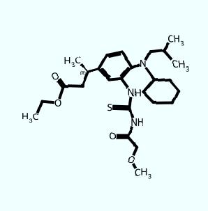 CCOC(=O)C[C@@H](C)c1ccc(N(CC(C)C)C2CCCCC2)c(NC(=S)NC(=O)COC)c1